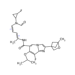 C/C(=C\C=C/N(C=O)C1CC1F)NC(=O)c1cn2cc(C34COC(C)(C3)C4)nc2c(F)c1OC(C)C